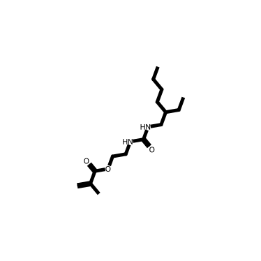 C=C(C)C(=O)OCCNC(=O)NCC(CC)CCCC